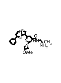 COC1CN(c2cc(C(=O)NC[C@H](C)N)cc(-c3cnn4ccc(-c5ccccc5)nc34)n2)C1